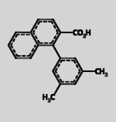 Cc1cc(C)cc(-c2c(C(=O)O)ccc3ccccc23)c1